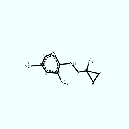 N#Cc1cnc(NCC2(C#N)CC2)c([N+](=O)[O-])c1